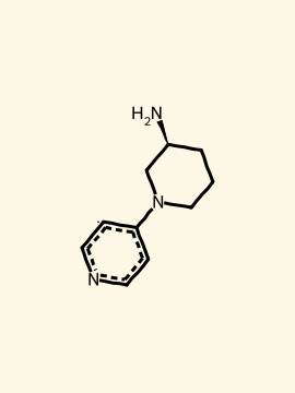 N[C@H]1CCCN(c2[c]cncc2)C1